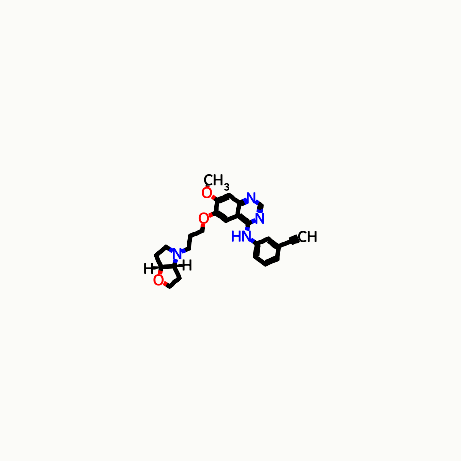 C#Cc1cccc(Nc2ncnc3cc(OC)c(OCCCN4CC[C@H]5OCC[C@H]54)cc23)c1